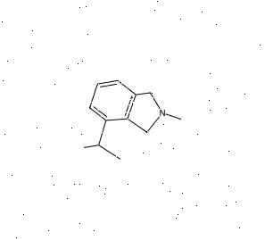 CC(C)c1cccc2c1CN(C)C2